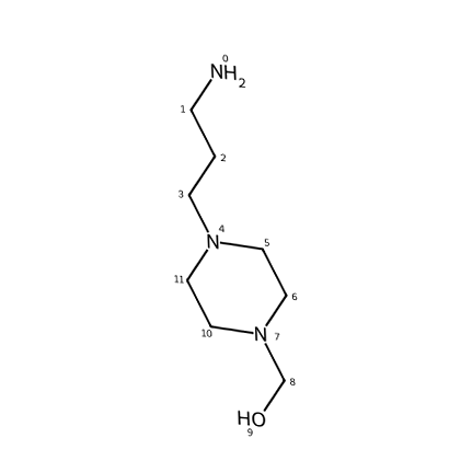 NCCCN1CCN(CO)CC1